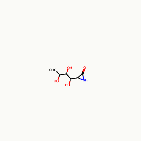 O=C[C@H](O)[C@@H](O)[C@H](O)[C@@H]1NC1=O